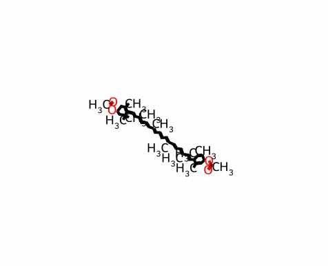 CC(=O)OC1C=C(C)C(/C=C/C(C)=C/C=C/C(C)=C/C=C/C=C(C)/C=C/C=C(C)/C=C/C2=C(C)CC(OC(C)=O)CC2(C)C)C(C)(C)C1